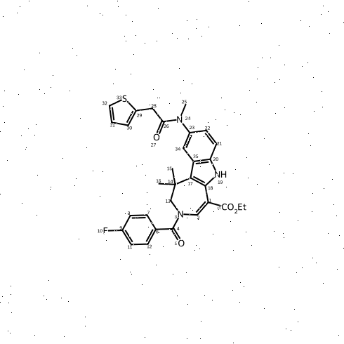 CCOC(=O)C1=CN(C(=O)c2ccc(F)cc2)CC(C)(C)c2c1[nH]c1ccc(N(C)C(=O)Cc3cccs3)cc21